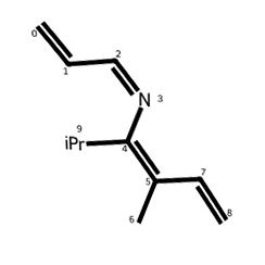 C=C/C=N\C(=C(\C)C=C)C(C)C